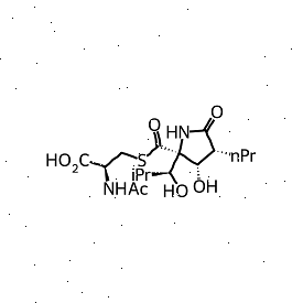 CCC[C@H]1C(=O)N[C@](C(=O)SC[C@@H](NC(C)=O)C(=O)O)([C@@H](O)C(C)C)[C@H]1O